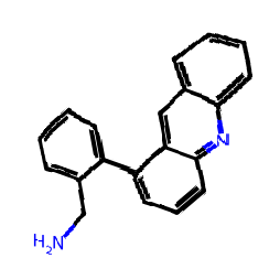 NCc1ccccc1-c1cccc2nc3ccccc3cc12